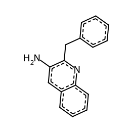 Nc1cc2ccccc2nc1Cc1ccccc1